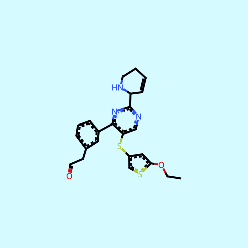 CCOc1cc(Sc2cnc(C3C=CCCN3)nc2-c2cccc(CC=O)c2)cs1